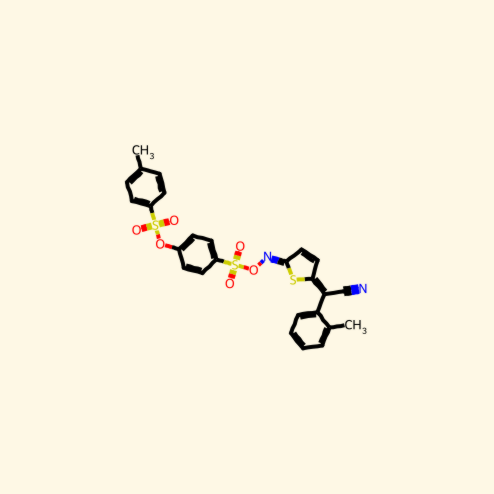 Cc1ccc(S(=O)(=O)Oc2ccc(S(=O)(=O)ON=C3C=CC(=C(C#N)c4ccccc4C)S3)cc2)cc1